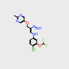 Cc1ncc(OC/C(=C/Nc2ccc(Cl)c(OC(F)F)c2)N=N)cn1